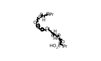 CC(C)C[C@H](OC(=O)C(C)(C)CNC(=O)CNC(=O)/C=C/CC[C@H](C)O[C@@H](C)c1ccc(CN2CCN(C(=O)CCC(C)(C)SCC(=O)NCCOC(C)C)CC2)cc1)C(=O)O